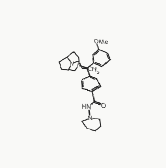 C=CCN1C2CCC1CN(C(c1ccc(C(=O)NN3CCCCC3)cc1)c1cccc(OC)c1)CC2